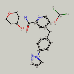 O=C(N[C@H]1COCC[C@@H]1O)c1cc(Cc2ccc(-n3cccn3)cc2)c(OC(F)F)cn1